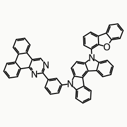 c1cc(-c2ncc3c4ccccc4c4ccccc4c3n2)cc(-n2c3ccccc3c3c4c5ccccc5n(-c5cccc6c5oc5ccccc56)c4ccc32)c1